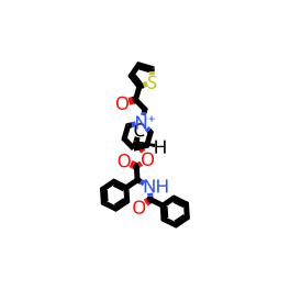 O=C(NC(C(=O)O[C@H]1C[N+]2(CC(=O)c3cccs3)CCC1CC2)c1ccccc1)c1ccccc1